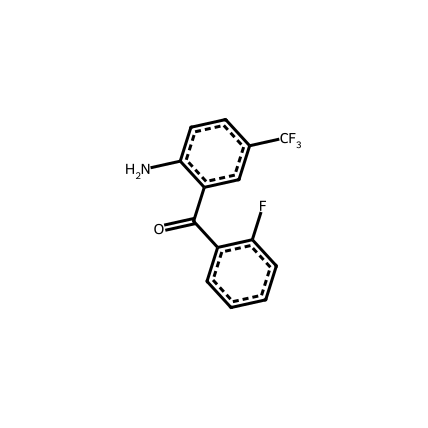 Nc1ccc(C(F)(F)F)cc1C(=O)c1ccccc1F